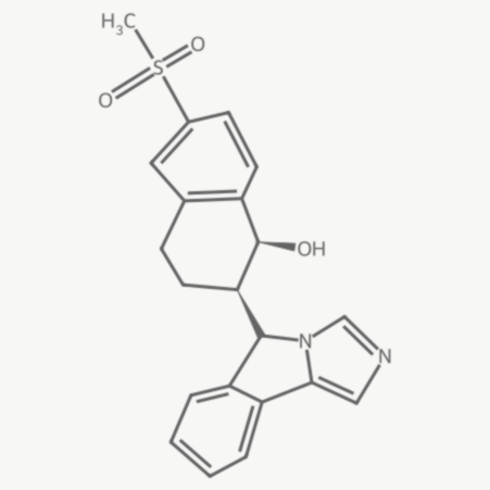 CS(=O)(=O)c1ccc2c(c1)CC[C@H](C1c3ccccc3-c3cncn31)[C@@H]2O